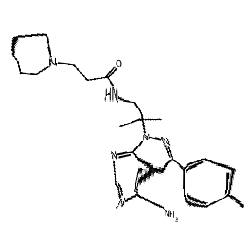 Cc1ccc(-c2nn(C(C)(C)CNC(=O)CCN3CCCCC3)c3ncnc(N)c23)cc1